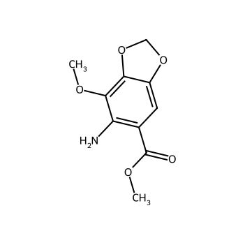 COC(=O)c1cc2c(c(OC)c1N)OCO2